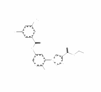 Cc1ncc(NC(=O)c2cc(C#N)cc(C(C)(C)C)c2)cc1-n1cc(C(=O)NCC(C)(C)C)nn1